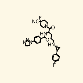 N#CC1(F)CCN(C(=O)C(CCCN[C@@H]2C[C@H]2c2ccc(F)cc2)NC(=O)c2ccc(-n3ccnn3)cc2)CC1